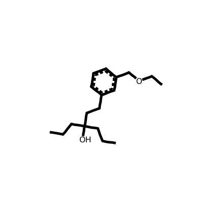 CCCC(O)(CCC)CCc1cccc(COCC)c1